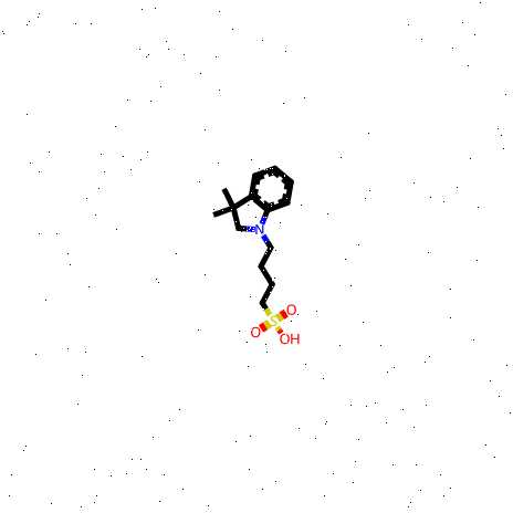 CC1(C)CN(CCCCS(=O)(=O)O)c2ccccc21